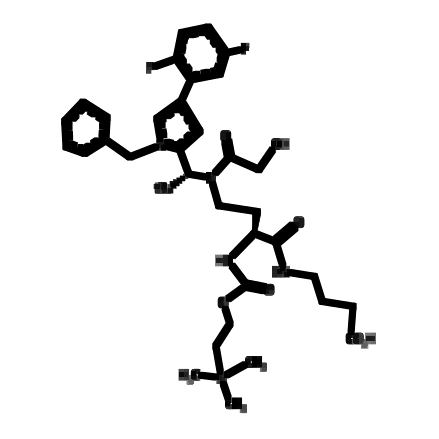 CC(C)(C)[C@H](c1cc(-c2cc(F)ccc2F)cn1Cc1ccccc1)N(CC[C@H](NC(=O)OCC[Si](C)(C)C)C(=O)NCCCC(=O)O)C(=O)CO